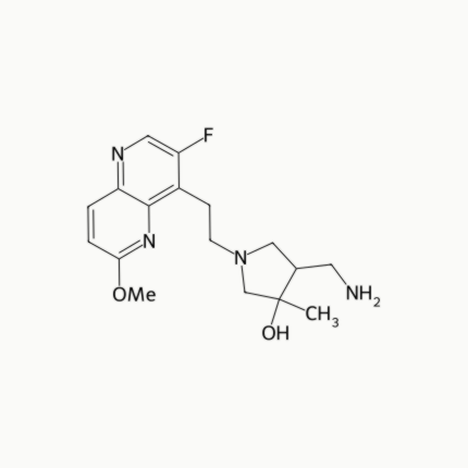 COc1ccc2ncc(F)c(CCN3CC(CN)C(C)(O)C3)c2n1